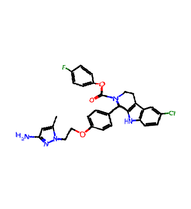 Cc1cc(N)nn1CCOc1ccc(C2c3[nH]c4ccc(Cl)cc4c3CCN2C(=O)Oc2ccc(F)cc2)cc1